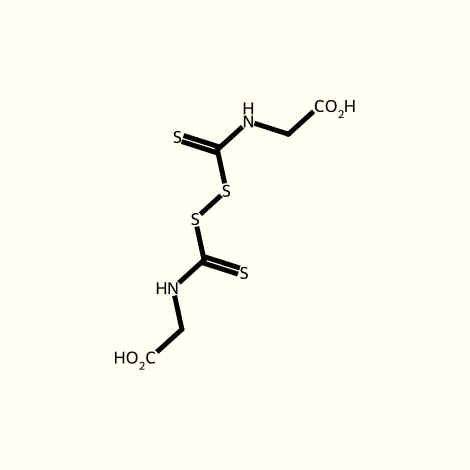 O=C(O)CNC(=S)SSC(=S)NCC(=O)O